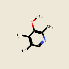 CCCCOc1c(C)ncc(C)c1C